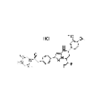 COc1ccc(C2CC(C(F)F)n3nc(-c4ccc(CC(=O)N5C[C@H](C)NC[C@H]5C)cc4)cc3N2)cc1OC.Cl